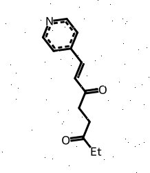 CCC(=O)CCC(=O)/C=C/c1ccncc1